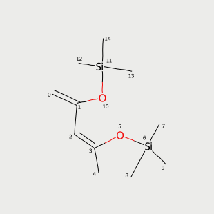 C=C(C=C(C)O[Si](C)(C)C)O[Si](C)(C)C